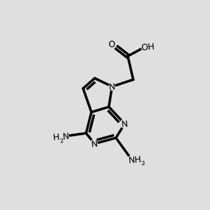 Nc1nc(N)c2ccn(CC(=O)O)c2n1